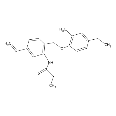 C=Cc1ccc(COc2ccc(CC)cc2C)c(NC(=S)CC)c1